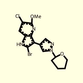 COc1nc2c(-c3cnn(C4CCCCO4)c3)c(Br)[nH]c2cc1Cl